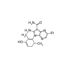 CCc1cnc2c(n1)c(C(N)=O)c(N)n2C1=C(C)C(O)=CCC1C